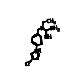 CCN(Cc1ccc([SH]2C=CC(Cl)=C2)cc1)C(=N)N